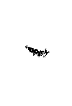 CC(C)C(=S)NCC1CN(c2ccc(N3CCN(CCF)CC3)c(F)c2)C(=O)O1